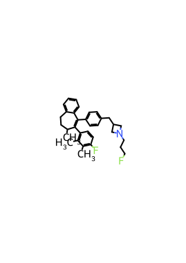 Cc1c(F)ccc(C2=C(c3ccc(CC4CN(CCCF)C4)cc3)c3ccccc3CCC2C)c1C